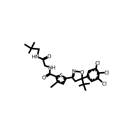 Cc1cc(C2=NOC(c3cc(Cl)c(Cl)c(Cl)c3)(C(C)(C)C)C2)sc1C(=O)NCC(=O)NCC(C)(C)C